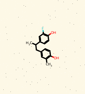 Cc1cc(CC(C)c2ccc(O)c(F)c2)ccc1O